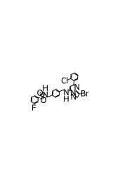 O=S(=O)(NCc1ccc(CNc2cc(-c3ccccc3Cl)nc3c(Br)cnn23)cc1)c1cccc(F)c1